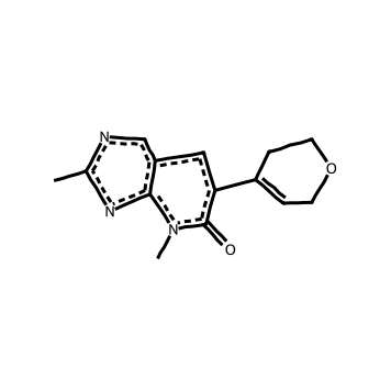 Cc1ncc2cc(C3=CCOCC3)c(=O)n(C)c2n1